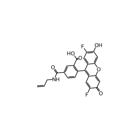 C=CCNC(=O)c1ccc(-c2c3cc(F)c(=O)cc-3oc3cc(O)c(F)cc23)c(C(=O)O)c1